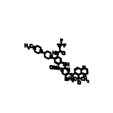 COc1cc(N2CCC(N3CCN(C)CC3)CC2)c(NC(=O)C2CC2(F)F)cc1Nc1ncc(Br)c(Nc2ccc3nccnc3c2P(C)(C)=O)n1